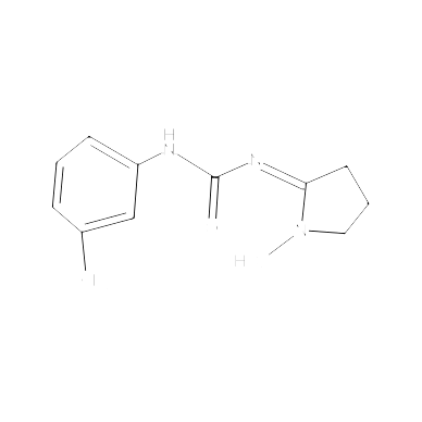 CN1CCC/C1=N/C(=O)Nc1cccc(C(F)(F)F)c1